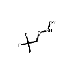 CCCNOCC(F)(F)F